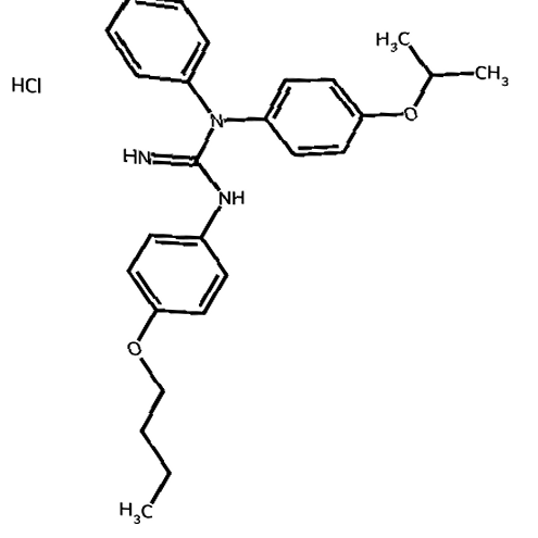 CCCCOc1ccc(NC(=N)N(c2ccccc2)c2ccc(OC(C)C)cc2)cc1.Cl